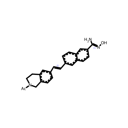 CC(=O)N1CCc2cc(/C=C/c3ccc4cc(/C(N)=N/O)ccc4c3)ccc2C1